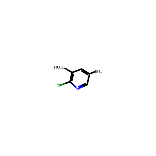 Bc1cnc(Cl)c(C(=O)O)c1